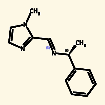 C[C@H](/N=C/c1nccn1C)c1ccccc1